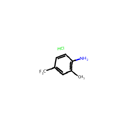 Cc1cc(C(F)(F)F)ccc1N.Cl